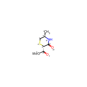 COC(=O)[C@@H]1SC[C@@H](C)NC1=O